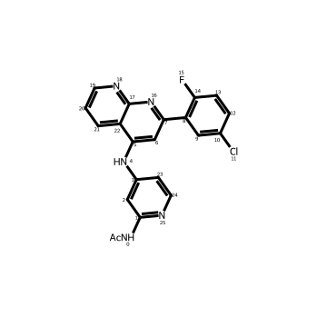 CC(=O)Nc1cc(Nc2cc(-c3cc(Cl)ccc3F)nc3ncccc23)ccn1